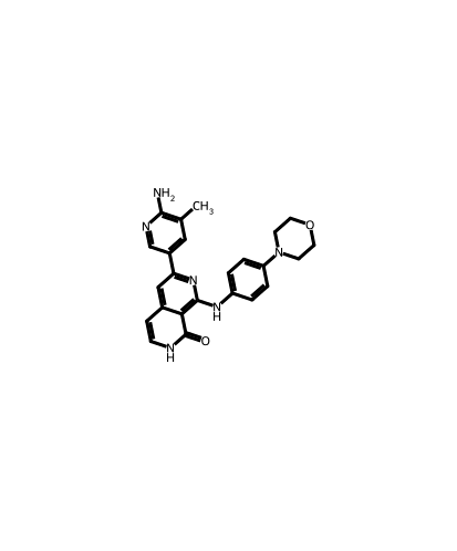 Cc1cc(-c2cc3cc[nH]c(=O)c3c(Nc3ccc(N4CCOCC4)cc3)n2)cnc1N